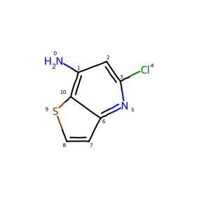 Nc1cc(Cl)nc2ccsc12